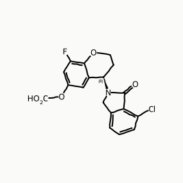 O=C(O)Oc1cc(F)c2c(c1)[C@H](N1Cc3cccc(Cl)c3C1=O)CCO2